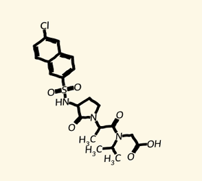 CC(C)N(CC(=O)O)C(=O)C(C)N1CCC(NS(=O)(=O)c2ccc3cc(Cl)ccc3c2)C1=O